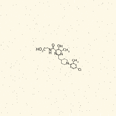 Cc1cc(Cl)ccc1N1CCC(Cc2nc(C)c(O)c(C(=O)NCC(=O)O)n2)CC1